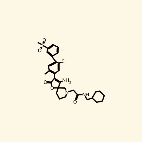 Cc1cc(-c2cccc(S(C)(=O)=O)c2)c(Cl)cc1C1=C(N)C2(CCCN(CC(=O)NCC3CCCCC3)C2)OC1=O